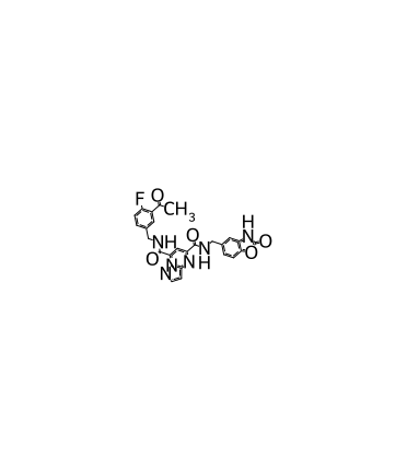 CC(=O)c1cc(CNC(=O)c2cc(C(=O)NCc3ccc4oc(=O)[nH]c4c3)nc3ccnn23)ccc1F